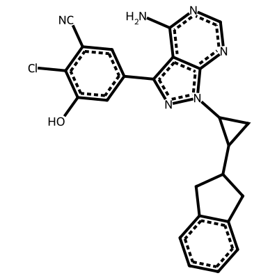 N#Cc1cc(-c2nn(C3CC3C3Cc4ccccc4C3)c3ncnc(N)c23)cc(O)c1Cl